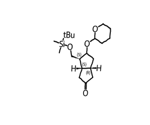 CC(C)(C)[Si](C)(C)OC[C@H]1C(OC2CCCCO2)C[C@@H]2CC(=O)C[C@@H]21